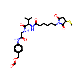 CSC1CC(=O)N(CCCCCC(=O)NC(C(=O)NCC(=O)Nc2ccc(COC=O)cc2)C(C)C)C1=O